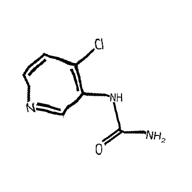 NC(=O)Nc1[c]nccc1Cl